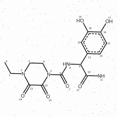 CCN1CCN(C(=O)NC(C([NH])=O)c2ccc(O)c(O)c2)C(=O)C1=O